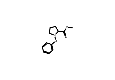 COC(=O)C1CCCN1Oc1ccccc1